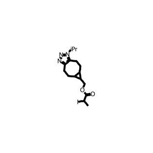 CC(I)C(=O)OCC1C2CCc3nnn(C(C)C)c3CCC21